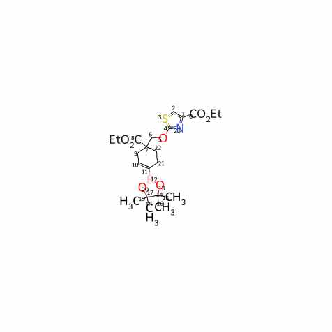 CCOC(=O)c1csc(OCC2(C(=O)OCC)CC=C(B3OC(C)(C)C(C)(C)O3)CC2)n1